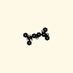 c1ccc(-c2nc(-c3ccccc3)nc(-c3ccc4c(c3)oc3cc(-c5cc6c7ccccc7oc6c6c5sc5ccccc56)ccc34)n2)cc1